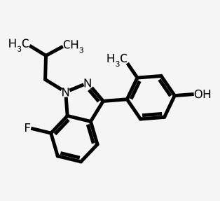 Cc1cc(O)ccc1-c1nn(CC(C)C)c2c(F)cccc12